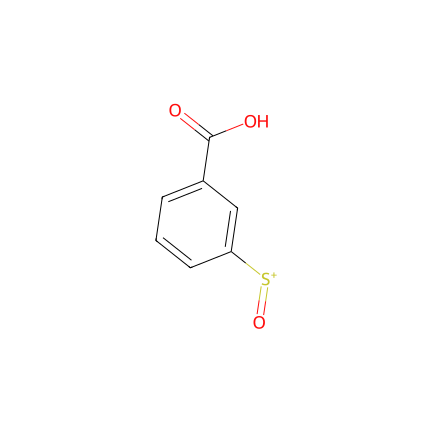 O=[S+]c1cccc(C(=O)O)c1